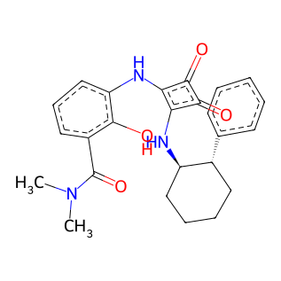 CN(C)C(=O)c1cccc(Nc2c(N[C@@H]3CCCC[C@H]3c3ccccc3)c(=O)c2=O)c1O